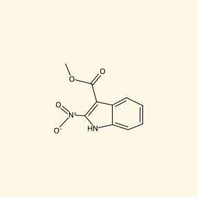 COC(=O)c1c([N+](=O)[O-])[nH]c2ccccc12